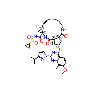 COc1ccc2c(O[C@@H]3C[C@H]4C(=O)N[C@]5(C(=O)NS(=O)(=O)C6CC6)C[C@H]5/C=C\CCCCN(C)C(=O)[C@@H]4C3)nc(-n3ccc(C(C)C)n3)nc2c1C